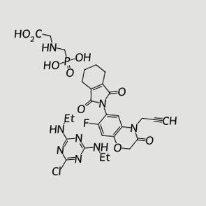 C#CCN1C(=O)COc2cc(F)c(N3C(=O)C4=C(CCCC4)C3=O)cc21.CCNc1nc(Cl)nc(NCC)n1.O=C(O)CNCP(=O)(O)O